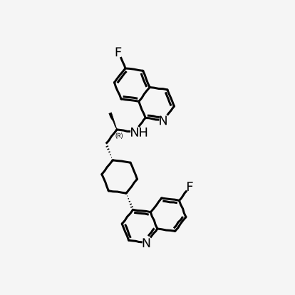 C[C@H](C[C@H]1CC[C@@H](c2ccnc3ccc(F)cc32)CC1)Nc1nccc2cc(F)ccc12